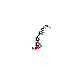 C=CC1CCC(c2ccc(CCC3CCC(c4ccc(OCC)c(F)c4)CC3)c(F)c2F)CC1